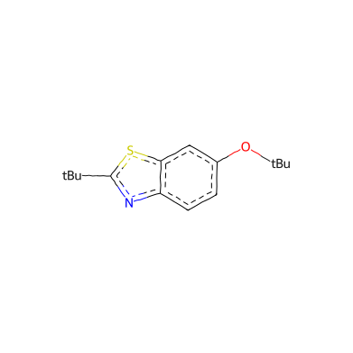 CC(C)(C)Oc1ccc2nc(C(C)(C)C)sc2c1